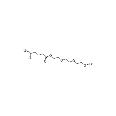 CC(C)OCCOCCOCCOC(=O)CCCC(=O)C(C)(C)C